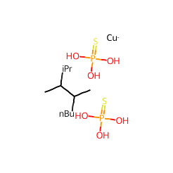 CCCCC(C)C(C)C(C)C.OP(O)(O)=S.OP(O)(O)=S.[Cu]